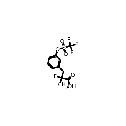 CC(F)(Cc1cccc(OS(=O)(=O)C(F)(F)F)c1)C(=O)O